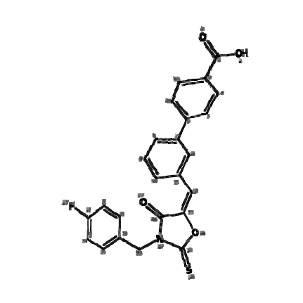 O=C(O)c1ccc(-c2cccc(C=C3OC(=S)N(Cc4ccc(F)cc4)C3=O)c2)cc1